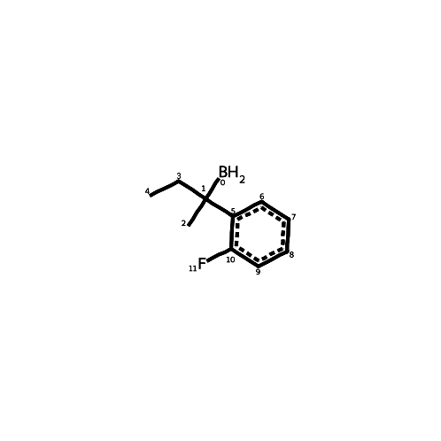 BC(C)(CC)c1ccccc1F